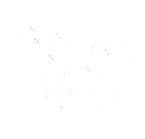 O=C(NC(c1ccccc1)c1ccccn1)c1cnc(-n2cccn2)nc1OC(=O)C(F)(F)F